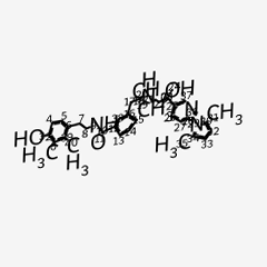 Cc1c(O)ccc(CCNC(=O)c2cccc(CC(C)(C)NC[C@@H](O)c3ccc(-n4c(C)ccc4C)nc3)c2)c1C